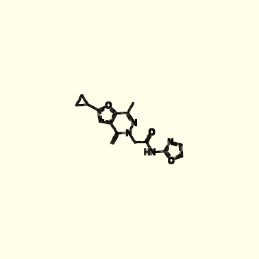 C=C1c2cc(C3CC3)oc2C(C)=NN1CC(=O)Nc1ncco1